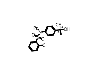 CC(C)N(c1ccc([C@](C)(O)C(F)(F)F)cc1)S(=O)(=O)c1ccccc1Cl